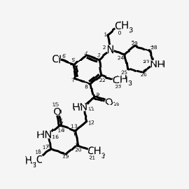 CCN(c1cc(Cl)cc(C(=O)NCC2C(=O)NC(C)CC2C)c1C)C1CCNCC1